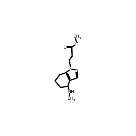 CNC1CCCc2c1cnn2CCC(=O)OC